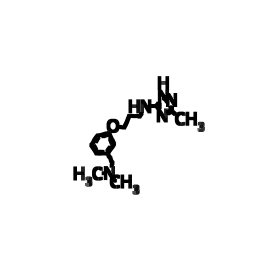 Cc1n[nH]c(NCCCOc2cccc(CN(C)C)c2)n1